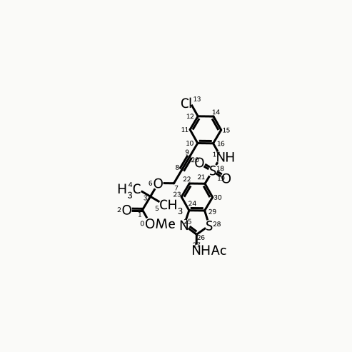 COC(=O)C(C)(C)OCC#Cc1cc(Cl)ccc1NS(=O)(=O)c1ccc2nc(NC(C)=O)sc2c1